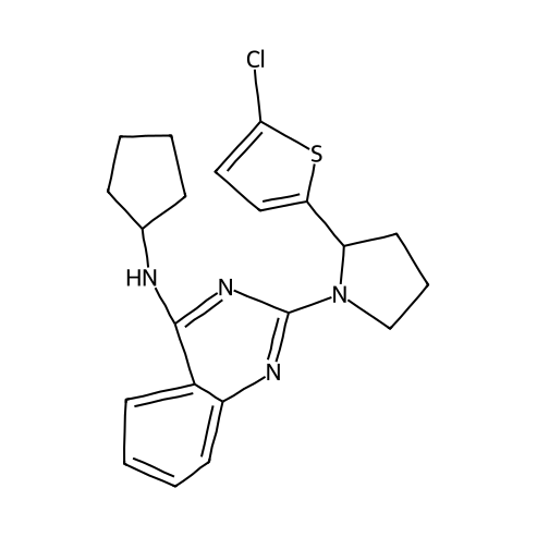 Clc1ccc(C2CCCN2c2nc(NC3CCCC3)c3ccccc3n2)s1